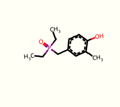 CCP(=O)(CC)Cc1ccc(O)c(C)c1